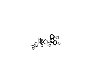 COc1ccc(S(=O)(=O)N2CC[C@@](F)(C(=O)N[C@H](C)/C=C\S(C)(=O)=O)C[C@H]2C)c(-c2ccccc2Cl)c1